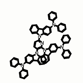 c1ccc(N(c2ccccc2)c2ccc3c(c2)c2ccccc2n3-c2ccc(-n3c4ccccc4c4cc(N(c5ccccc5)c5ccccc5)ccc43)c(-n3c4ccccc4c4cc(N(c5ccccc5)c5ccccc5)ccc43)n2)cc1